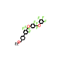 CCOCC1CC=C(c2cc(F)c(C(F)(F)Oc3ccc(C(F)(F)Oc4cc(F)c(F)c(F)c4)c(F)c3)c(F)c2)CC1